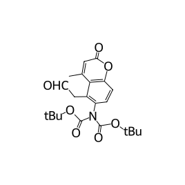 Cc1cc(=O)oc2ccc(N(C(=O)OC(C)(C)C)C(=O)OC(C)(C)C)c(CC=O)c12